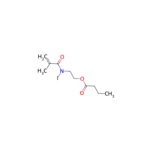 C=C(C)C(=O)N(I)CCOC(=O)CCC